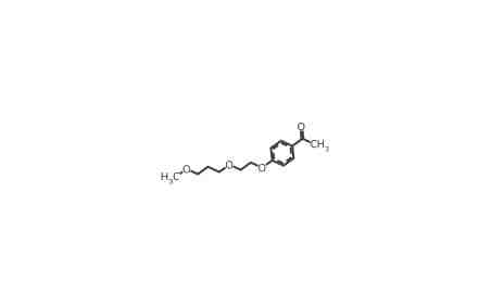 COCCCOCCOc1ccc(C(C)=O)cc1